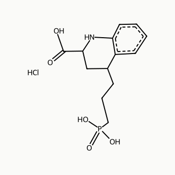 Cl.O=C(O)C1CC(CCCP(=O)(O)O)c2ccccc2N1